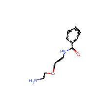 NCCOCCNC(=O)c1cc[c]cc1